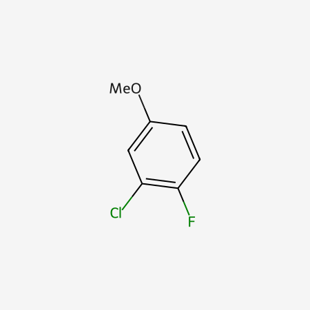 COc1ccc(F)c(Cl)c1